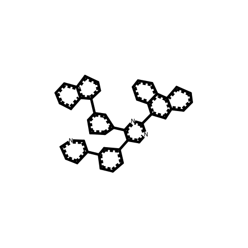 c1cncc(-c2cccc(-c3cnc(-c4cc5ccccc5c5ccccc45)nc3-c3cccc(-c4cccc5ccccc45)c3)c2)c1